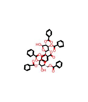 O=C(OC[C@H]1O[C@@H](OC[C@H]2O[C@@H](O)[C@H](OC(=O)c3ccccc3)[C@@H](OC(=O)c3ccccc3)[C@@H]2OC(=O)c2ccccc2)[C@H](OC(=O)c2ccccc2)[C@@H](OC(=O)c2ccccc2)[C@@H]1O)c1ccccc1